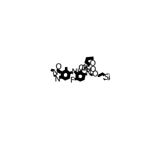 Cc1c(Nc2c(F)ccc(N(COCC[Si](C)(C)C)S(=O)(=O)c3ccco3)c2Cl)ccc2ncn(C)c(=O)c12